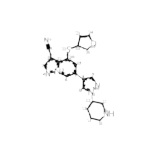 N#Cc1cnn2cc(-c3cnn([C@H]4CCCNC4)c3)cc(SC3CCOC3)c12